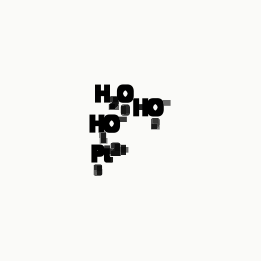 O.[OH-].[OH-].[Pt+2]